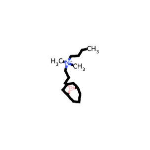 CCCC[N+](C)(C)CCCB1C2CCCC1CCC2